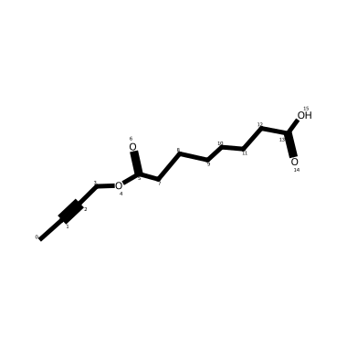 CC#CCOC(=O)CCCCCCC(=O)O